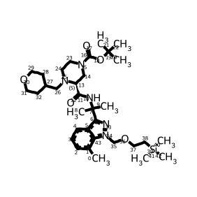 Cc1cccc2c(C(C)(C)NC(=O)[C@@H]3CN(C(=O)OC(C)(C)C)CCN3CC3CCOCC3)nn(COCC[Si](C)(C)C)c12